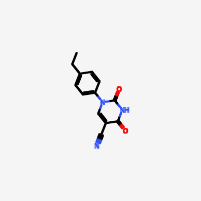 CCc1ccc(-n2cc(C#N)c(=O)[nH]c2=O)cc1